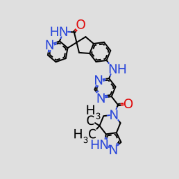 CC1(C)CN(C(=O)c2cc(Nc3ccc4c(c3)CC3(C4)C(=O)Nc4ncccc43)ncn2)Cc2cn[nH]c21